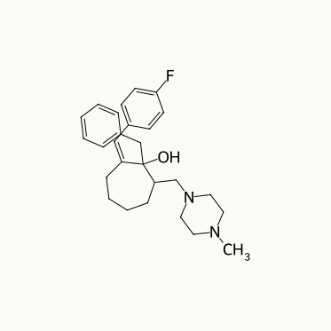 CN1CCN(CC2CCCCC(=Cc3ccc(F)cc3)C2(O)Cc2ccccc2)CC1